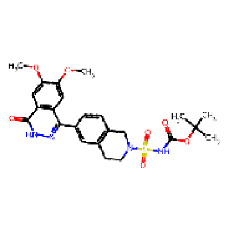 COc1cc2c(-c3ccc4c(c3)CCN(S(=O)(=O)NC(=O)OC(C)(C)C)C4)n[nH]c(=O)c2cc1OC